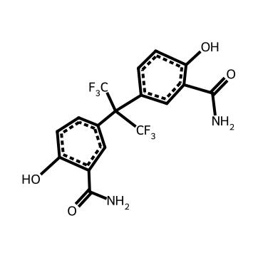 NC(=O)c1cc(C(c2ccc(O)c(C(N)=O)c2)(C(F)(F)F)C(F)(F)F)ccc1O